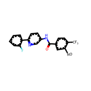 O=Nc1cc(C(=O)Nc2ccc(-c3ccccc3F)nc2)ccc1C(F)(F)F